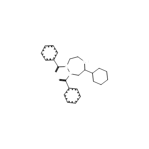 O=C(c1ccccc1)N1CCNC(C2CCCCC2)CN1C(=O)c1ccccc1